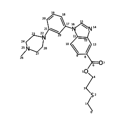 CCSCCOC(=O)c1ccc2c(c1)ncn2-c1cccc(N2CCN(C)CC2)c1